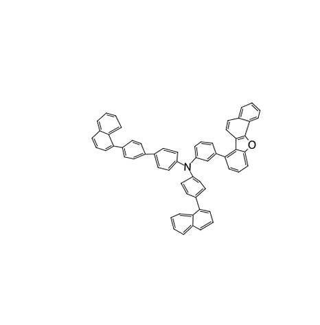 c1cc(-c2cccc3oc4c5ccccc5ccc4c23)cc(N(c2ccc(-c3ccc(-c4cccc5ccccc45)cc3)cc2)c2ccc(-c3cccc4ccccc34)cc2)c1